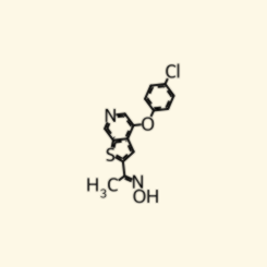 CC(=NO)c1cc2c(Oc3ccc(Cl)cc3)cncc2s1